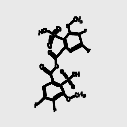 COc1c(F)c(F)cc(C(=O)OC(=O)c2cc(F)c(F)c(OC)c2S(=O)(=O)O)c1S(=O)(=O)O